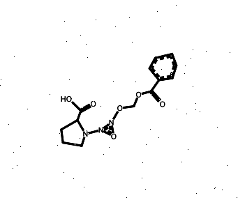 O=C(OCOn1on1N1CCCC1C(=O)O)c1ccccc1